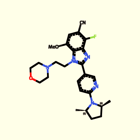 COc1cc(C#N)c(F)c2nc(-c3ccc(N4[C@@H](C)CC[C@@H]4C)nc3)n(CCN3CCOCC3)c12